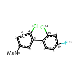 CNc1ccc(Cl)c(-c2ccc(F)cc2Cl)c1